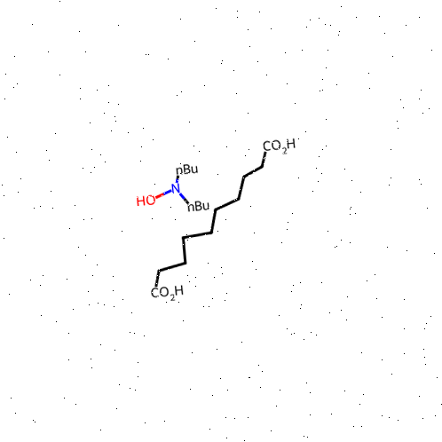 CCCCN(O)CCCC.O=C(O)CCCCCCCCC(=O)O